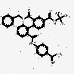 CCC(C)(C)NC(=O)c1ccc(-c2ccccc2C(=O)Nc2ccc(C(=N)N)cc2)c(C(=O)OCc2ccccc2)c1